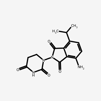 CC(C)c1ccc(N)c2c1C(=O)N(N1CCC(=O)NC1=O)C2=O